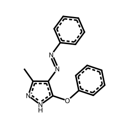 Cc1n[nH]c(Oc2ccccc2)c1N=Nc1ccccc1